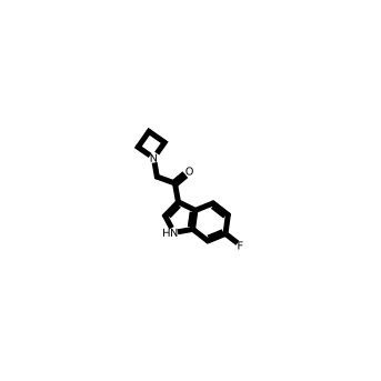 O=C(CN1CCC1)c1c[nH]c2cc(F)ccc12